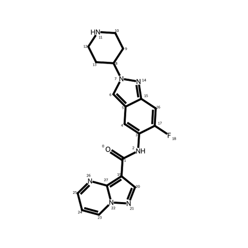 O=C(Nc1cc2cn(C3CCNCC3)nc2cc1F)c1cnn2cccnc12